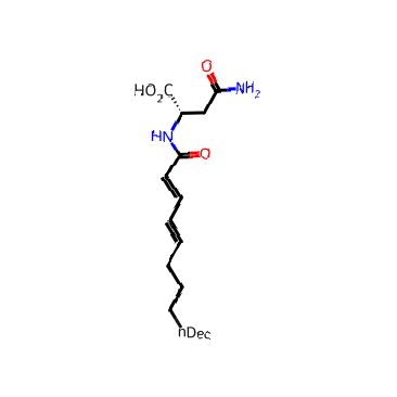 CCCCCCCCCCCCCC=CC=CC(=O)N[C@@H](CC(N)=O)C(=O)O